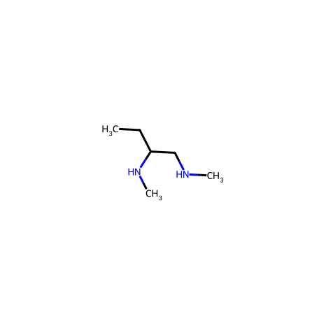 CCC(CNC)NC